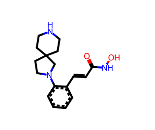 O=C(/C=C/c1ccccc1N1CCC2(CCNCC2)C1)NO